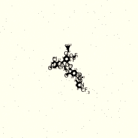 CS(=O)(=O)N(Cc1ccc(C(F)(F)F)nc1)c1ccc2c(c1)C(=O)N(CC(=O)O[C@@H](Cc1c(Cl)c[n+]([O-])cc1Cl)c1ccc(OC(F)F)c(OCC3CC3)c1)C2=O